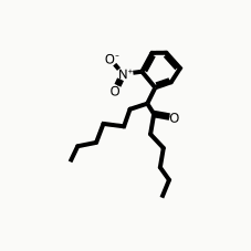 CCCCCCC(C(=O)CCCCC)c1ccccc1[N+](=O)[O-]